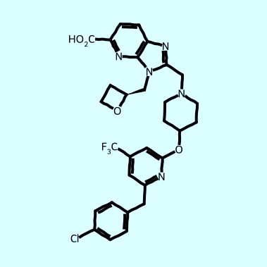 O=C(O)c1ccc2nc(CN3CCC(Oc4cc(C(F)(F)F)cc(Cc5ccc(Cl)cc5)n4)CC3)n(C[C@@H]3CCO3)c2n1